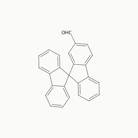 O=Cc1ccc2c(c1)C1(c3ccccc3-c3ccccc31)c1ccccc1-2